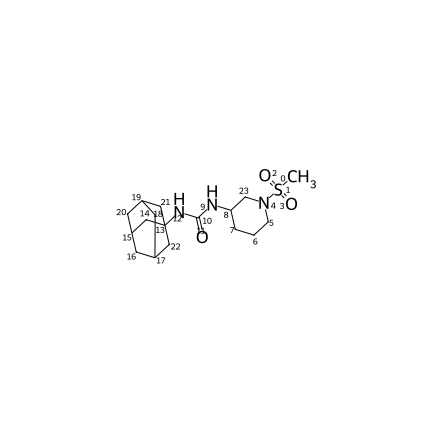 CS(=O)(=O)N1CCCC(NC(=O)NC23CC4CC(CC(C4)C2)C3)C1